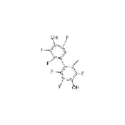 Cc1c(F)c(O)c(F)c(F)c1-c1cc(F)c(O)c(F)c1F